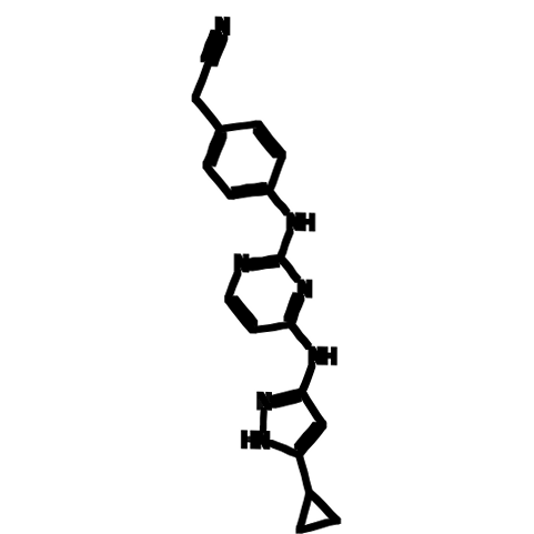 N#CCc1ccc(Nc2nccc(Nc3cc(C4CC4)[nH]n3)n2)cc1